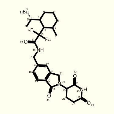 CCCC[C@@H](C)C1CCCC(C)C1C(F)(F)C(=O)NCc1ccc2c(c1)CN(C1CCC(=O)NC1=O)C2=O